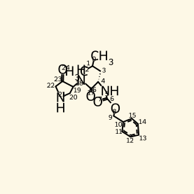 CC(C)C[C@H](NC(=O)OCc1ccccc1)C(=O)NC1CNCC1=O